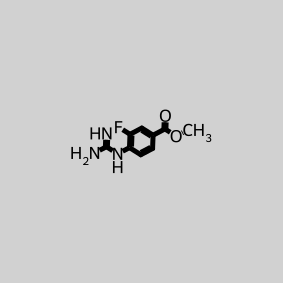 COC(=O)c1ccc(NC(=N)N)c(F)c1